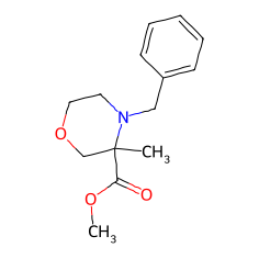 COC(=O)C1(C)COCCN1Cc1ccccc1